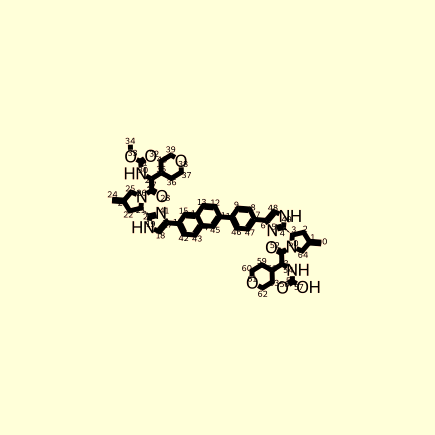 C=C1C[C@@H](c2nc(-c3ccc(-c4ccc5cc(-c6c[nH]c([C@@H]7CC(=C)CN7C(=O)C(NC(=O)OC)C7CCOCC7)n6)ccc5c4)cc3)c[nH]2)N(C(=O)C(NC(=O)O)C2CCOCC2)C1